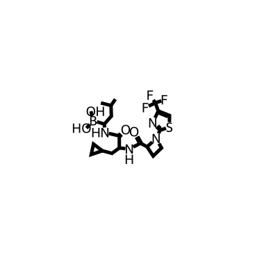 CC(C)CC(NC(=O)C(CC1CC1)NC(=O)C1CCN1c1nc(C(F)(F)F)cs1)B(O)O